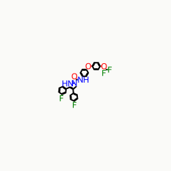 O=C(Nc1ccc(Oc2ccc(OC(F)F)cc2)cc1)N1CC(c2ccc(F)cc2)=C(c2cccc(F)c2)N1